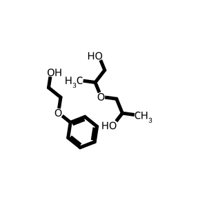 CC(O)COC(C)CO.OCCOc1ccccc1